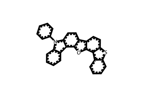 c1ccc(-n2c3ccccc3c3c4oc5c(ccc6sc7ccccc7c65)c4ccc32)cc1